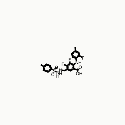 Cc1ccc(S(=O)(=O)NNCc2cc(C(=O)O)c(Nc3ccc(C)cc3F)c(F)c2F)cc1